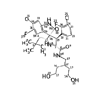 CC(C)(C)C[C@H]1N[C@@H](C(=O)NCC(CCO)CCO)[C@H](c2cccc(Cl)c2F)[C@@]12C(=O)Nc1cc(Cl)c(F)cc12